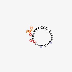 O=C1C[C@H](OP23=PC2P3)CCCCCCCCCCCC/C=C/CC/C=C/CCO1